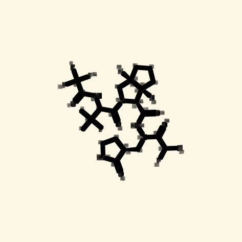 CC(C)(C)C(NC(=O)C(F)(F)F)C(=O)N1C[C@@H]2CCC[C@@H]2[C@H]1C(=O)NN(C[C@@H]1CCNC1=O)C(=O)C(F)Cl